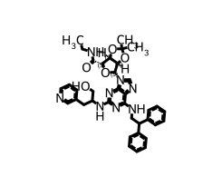 CCNC(=O)[C@H]1O[C@H](n2cnc3c(NCC(c4ccccc4)c4ccccc4)nc(NC(CO)Cc4cccnc4)nc32)[C@@H]2OC(C)(C)O[C@@H]21